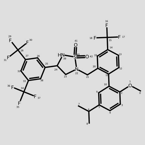 COc1ccc(C(C)C)cc1-c1ccc(C(F)(F)F)cc1CN1CC(c2cc(C(F)(F)F)cc(C(F)(F)F)c2)NS1(=O)=O